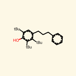 CC(C)(C)c1cc(CCCc2ccccc2)c(C(C)(C)C)c(C(C)(C)C)c1O